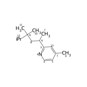 Cc1ccnc(C(C)CC(C)(C)C(C)C)c1